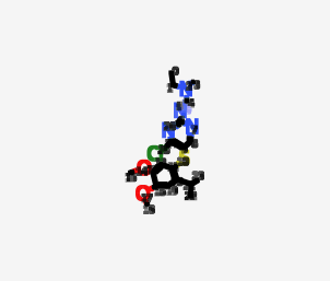 CCN(C)/C=N/c1ncc(Sc2cc(OC)c(OC)cc2C(C)C)c(Cl)n1